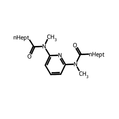 CCCCCCCC(=O)N(C)c1cccc(N(C)C(=O)CCCCCCC)n1